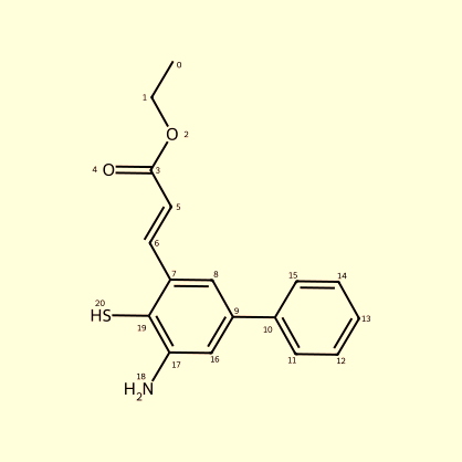 CCOC(=O)C=Cc1cc(-c2ccccc2)cc(N)c1S